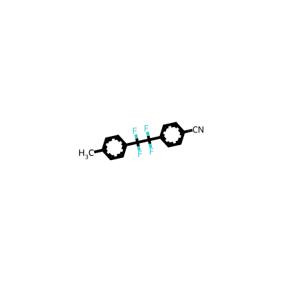 Cc1ccc(C(F)(F)C(F)(F)c2ccc(C#N)cc2)cc1